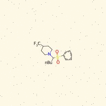 CCCCC(N1CCC(C(F)(F)F)CC1)S(=O)(=O)c1ccccc1